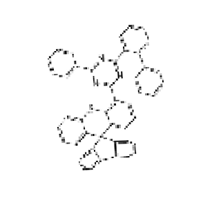 c1ccc(-c2nc(-c3ccccc3-c3ccccc3)nc(-c3cccc4c3Sc3ccccc3C43c4ccccc4-c4ccccc43)n2)cc1